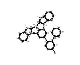 Cc1ccc(-c2cc3c4c(c2)n2c5ccccc5nc2n4c2nc4ccccc4n32)c(-c2ccccc2)c1